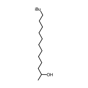 CCC(C)CCCCCCCCCCC(C)O